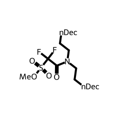 CCCCCCCCCCCCN(CCCCCCCCCCCC)C(=O)C(F)(F)S(=O)(=O)OC